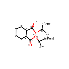 CCCCCC(CC)OC(=O)C1CCCCC1C(=O)OC(CC)CCCCC